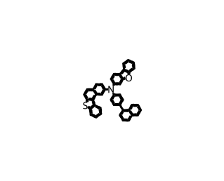 c1ccc2c(-c3ccc(N(c4ccc5c(c4)oc4ccccc45)c4ccc5ccc6sc7ccccc7c6c5c4)cc3)cccc2c1